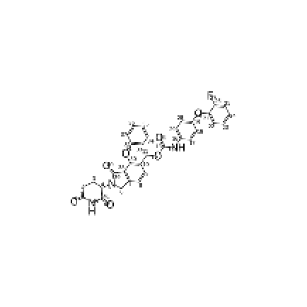 O=C1CCC(N2Cc3ccc(COC(=O)Nc4ccc(Oc5ccccc5F)cc4)c(Oc4ccccc4)c3C2=O)C(=O)N1